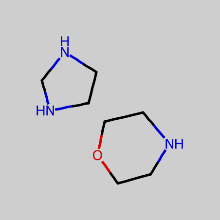 C1CNCN1.C1COCCN1